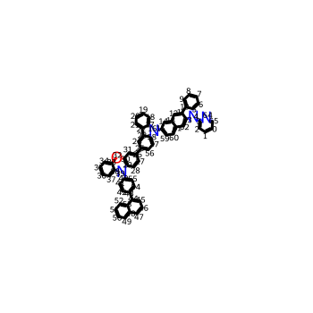 c1ccc(-n2c3ccccc3c3cc4cc(-n5c6ccccc6c6cc(-c7ccc8c(c7)Oc7ccccc7N8c7ccc(-c8cccc9ccccc89)cc7)ccc65)ccc4cc32)nc1